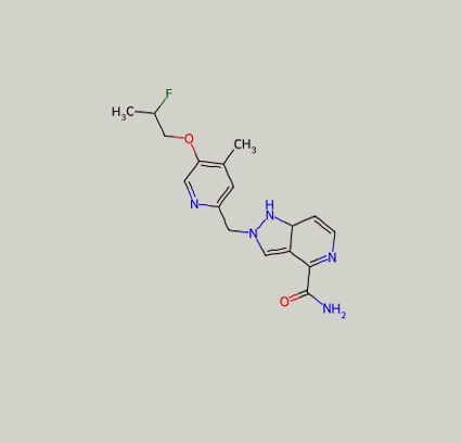 Cc1cc(CN2C=C3C(C(N)=O)=NC=CC3N2)ncc1OCC(C)F